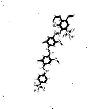 C=Cc1cc(S(=O)(=O)O)c(N=Nc2cc(C)c(N=Nc3cc(C)c(N=Nc4ccc(S(=O)(=O)O)cc4)cc3OC)cc2OC)c(O)c1/C=C\C